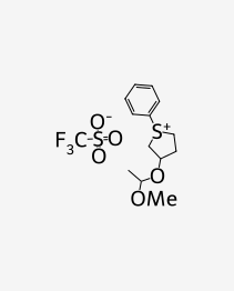 COC(C)OC1CC[S+](c2ccccc2)C1.O=S(=O)([O-])C(F)(F)F